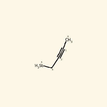 CC#C[CH2][SbH2]